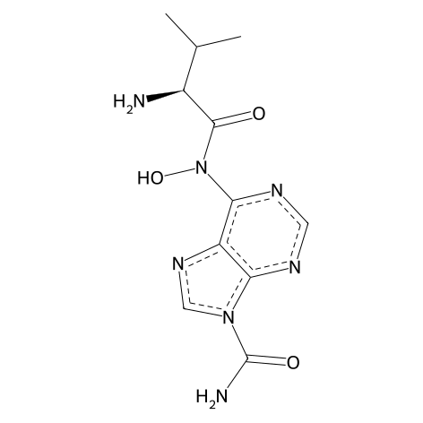 CC(C)[C@H](N)C(=O)N(O)c1ncnc2c1ncn2C(N)=O